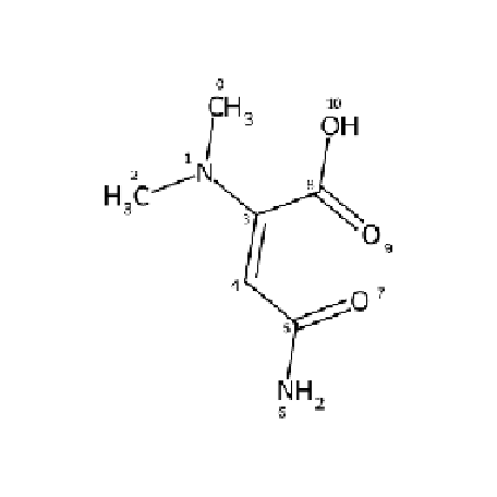 CN(C)/C(=C/C(N)=O)C(=O)O